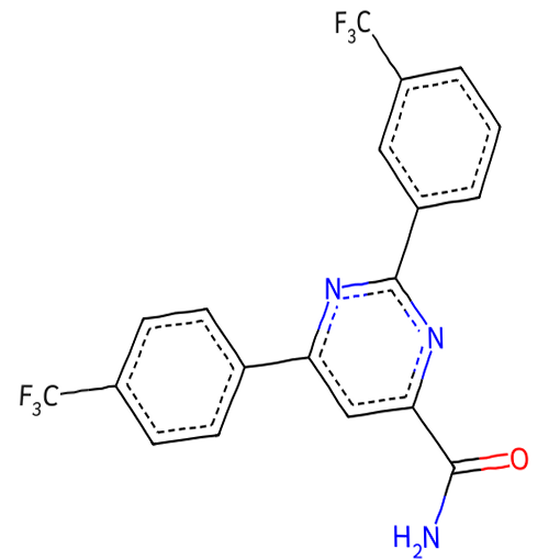 NC(=O)c1cc(-c2ccc(C(F)(F)F)cc2)nc(-c2cccc(C(F)(F)F)c2)n1